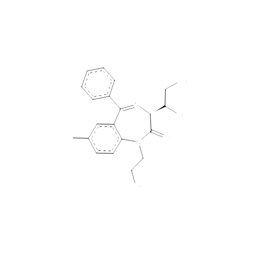 CCC(C)[C@@H]1N=C(c2ccccc2)c2cc(Cl)ccc2N(CCO)C1=O